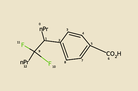 CCCC(c1ccc(C(=O)O)cc1)C(F)(F)CCC